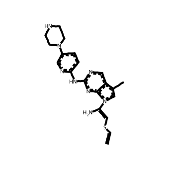 C=CS/C=C(\N)n1cc(C)c2cnc(Nc3ccc(N4CCNCC4)cn3)nc21